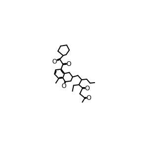 CCCC(CC1CC(=O)c2c(C)ccc(C(=O)C(=O)C3CCCCC3)c2C1)C(CC)C(=O)CC(C)=O